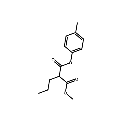 CCCC(C(=O)OC)C(=O)Oc1ccc(C)cc1